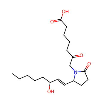 CCCCCC(O)C=CC1CCC(=O)N1CC(=O)CCCCC(=O)O